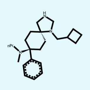 CCCN(C)[C@]1(c2ccccc2)CC[C@]2(CC1)CNCN2CC1CCC1